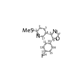 CSc1ccc(-c2ncoc2-c2ccc(F)cc2)cn1